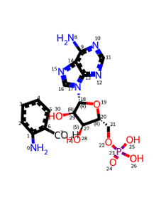 Nc1ccccc1C(=O)O.Nc1ncnc2c1ncn2[C@@H]1O[C@H](COP(=O)(O)O)[C@@H](O)[C@H]1O